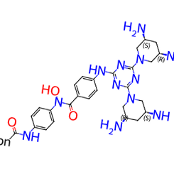 CCCCCCCCCC(=O)Nc1ccc(N(O)C(=O)c2ccc(Nc3nc(N4C[C@H](N)C[C@H](N)C4)nc(N4C[C@H](N)C[C@H](N)C4)n3)cc2)cc1